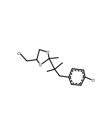 CC(C)(Cc1ccc(Cl)cc1)C1(C)OCC(CCl)O1